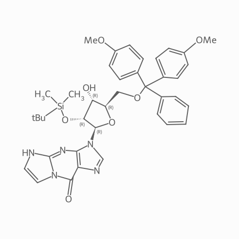 COc1ccc(C(OC[C@H]2O[C@@H](n3cnc4c(=O)n5cc[nH]c5nc43)[C@H](O[Si](C)(C)C(C)(C)C)[C@@H]2O)(c2ccccc2)c2ccc(OC)cc2)cc1